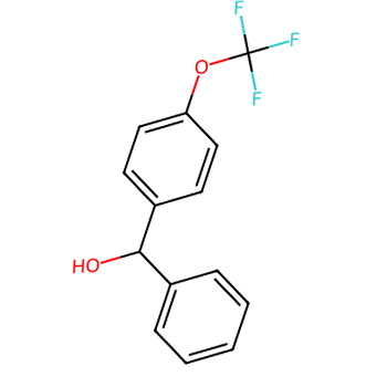 OC(c1ccccc1)c1ccc(OC(F)(F)F)cc1